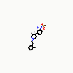 Cc1ccccc1CCN1CC[C@](C)(c2cccc(NS(C)(=O)=O)c2)[C@@H](C)C1